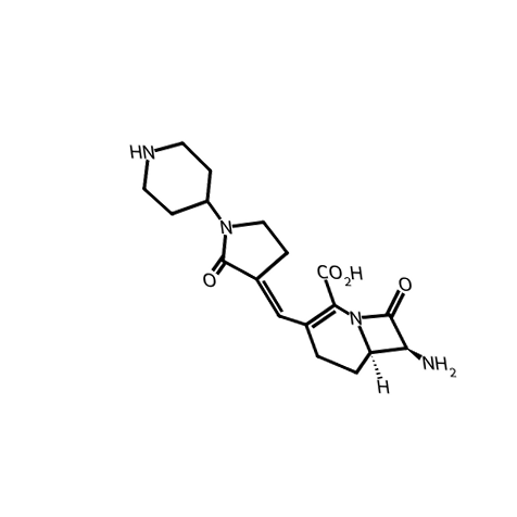 N[C@@H]1C(=O)N2C(C(=O)O)=C(C=C3CCN(C4CCNCC4)C3=O)CC[C@H]12